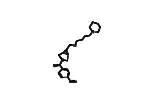 COc1ccc(C(=O)N2CC3C(COCCCCN4CCCCC4)C3C2)cc1